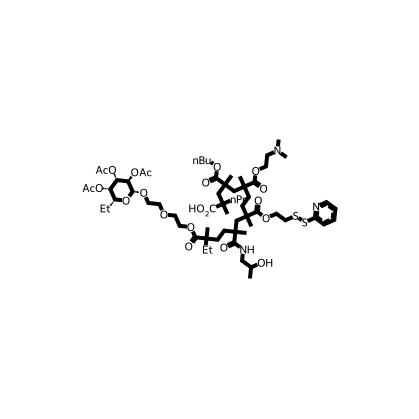 CCCCOC(=O)C(C)(CC(C)(CCC)C(=O)O)CC(C)(CCC(C)(CC(C)(CCC(C)(CC)C(=O)OCCOCCO[C@@H]1O[C@H](CC)[C@H](OC(C)=O)[C@H](OC(C)=O)[C@H]1OC(C)=O)C(=O)NCC(C)O)C(=O)OCCSSc1ccccn1)C(=O)OCCN(C)C